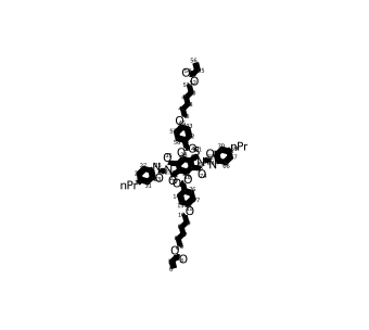 C=CC(=O)OCCCCCCOc1ccc(C(=O)Oc2c3c(=O)n(-c4nc5ccc(CCC)cc5o4)c(=O)c3c(OC(=O)c3ccc(OCCCCCCOC(=O)C=C)cc3)c3c(=S)n(-c4nc5ccc(CCC)cc5o4)c(=O)c23)cc1